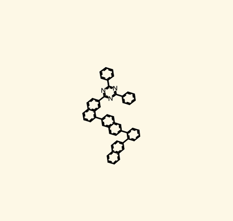 c1ccc(-c2nc(-c3ccccc3)nc(-c3ccc4cccc(-c5ccc6cc(-c7ccccc7-c7ccc8ccccc8c7)ccc6c5)c4c3)n2)cc1